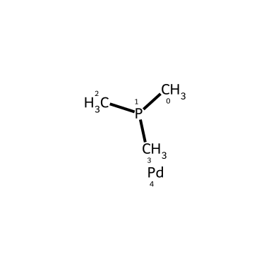 CP(C)C.[Pd]